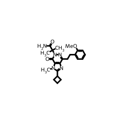 COc1ccccc1CCc1nn(C(C)(C)C(N)=O)c(=O)c2c1nc(C1CCC1)n2C